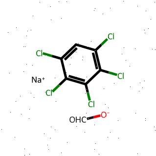 Clc1cc(Cl)c(Cl)c(Cl)c1Cl.O=C[O-].[Na+]